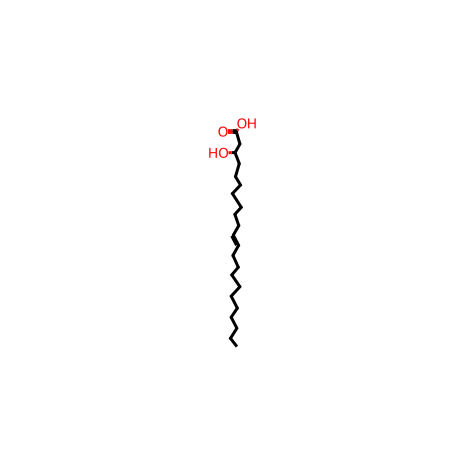 CCCCCCCCCCC=CCCCCCCCC(O)CC(=O)O